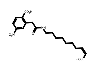 CCCCCCCC/C=C\CCCCCCCNC(=O)Cc1cc([N+](=O)[O-])ccc1C(=O)O